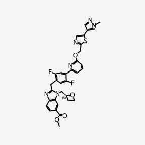 COC(=O)c1ccc2nc(Cc3cc(F)c(-c4cccc(OCc5ncc(-c6cnn(C)c6)s5)n4)cc3F)n(C[C@@H]3CCO3)c2c1